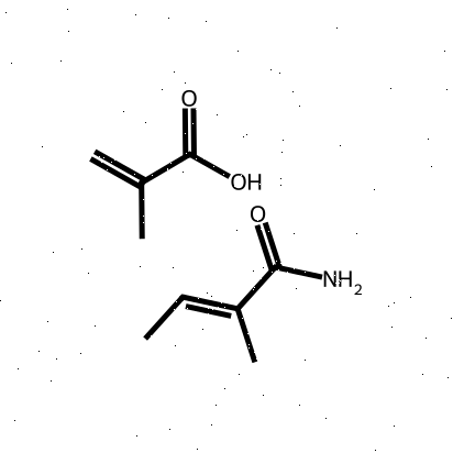 C/C=C(\C)C(N)=O.C=C(C)C(=O)O